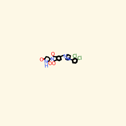 O=C1CCC(N2C(=O)c3ccc(CN4CC5CCC4CN5c4cccc(Cl)c4Cl)cc3C2=O)C(=O)N1